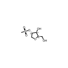 CS(=O)(=O)O[C@H]1CO[C@H](CO)[C@@H]1O